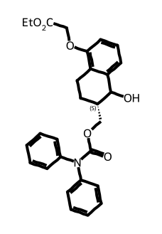 CCOC(=O)COc1cccc2c1CC[C@@H](COC(=O)N(c1ccccc1)c1ccccc1)C2O